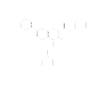 O=C(NC1CCCCC1)c1cc2cc(-c3ccccn3)cnc2n(CCN2CCOCC2)c1=O